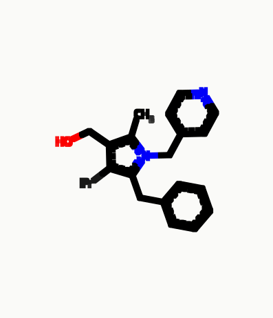 Cc1c(CO)c(C(C)C)c(Cc2ccccc2)n1Cc1ccncc1